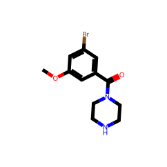 COc1cc(Br)cc(C(=O)N2CCNCC2)c1